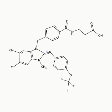 Cn1/c(=N\c2ccc(OC(F)(F)F)cc2)n(Cc2ccc(C(=O)NCCC(=O)O)cc2)c2cc(Cl)c(Cl)cc21